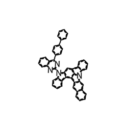 c1ccc(-c2ccc(-c3nc(-n4c5ccccc5c5c6c7cc8ccccc8cc7n7c8ccccc8c(cc54)c67)nc4ccccc34)cc2)cc1